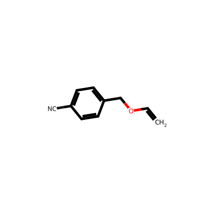 C=COCc1ccc(C#N)cc1